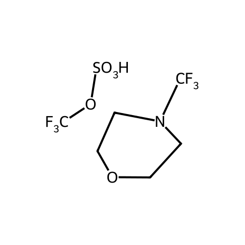 FC(F)(F)N1CCOCC1.O=S(=O)(O)OC(F)(F)F